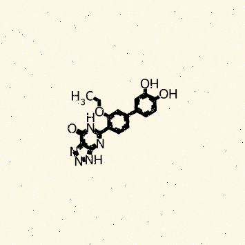 CCOc1cc(-c2ccc(O)c(O)c2)ccc1-c1nc2[nH]nnc2c(=O)[nH]1